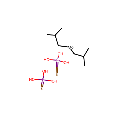 CC(C)[CH2][Mo][CH2]C(C)C.OP(O)(O)=S.OP(O)(O)=S